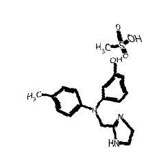 CS(=O)(=O)O.Cc1ccc(N(CC2=NCCN2)c2cccc(O)c2)cc1